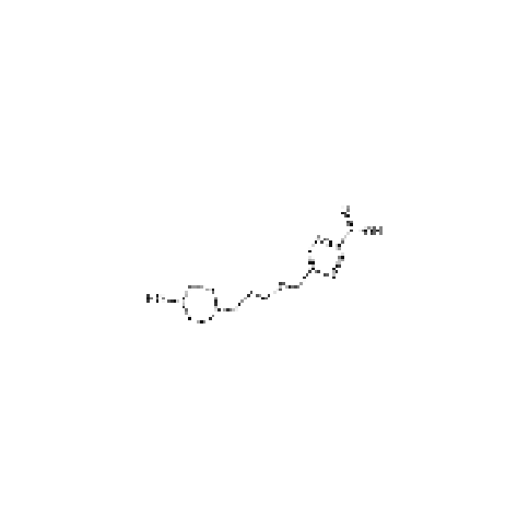 O=C(O)c1ccc(COCCCN2CCC(O)CC2)cc1